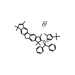 CC1=CC(C)(C)c2cc3c(cc21)-c1cc2c(cc1C3)C(C)(C)[C]([Zr+2]([C]1=CC(C(C)(C)C)=CC1C)=[C](c1ccccc1)c1ccccc1)=C2C.[Cl-].[Cl-]